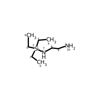 CC[Si](CC)(CC)NCCN